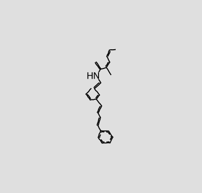 C=C(N/C=C/C=C(\C=C/C)/C=C/C=C/c1ccccc1)/C(C)=C\C=C/C